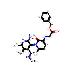 C=C1C(CNC=O)=C(n2c(C)ccc(NCC(=O)OCc3ccccc3)c2=O)C(N)=NC1C